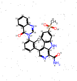 Cc1c(-c2cnc(C(N)=O)c3[nH]c4cc(S(C)(=O)=O)ccc4c23)cccc1-n1cnc2ccccc2c1=O